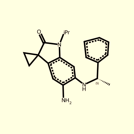 CC(C)N1C(=O)C2(CC2)c2cc(N)c(N[C@@H](C)c3ccccc3)cc21